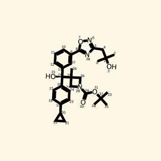 CC(C)(O)Cc1noc(-c2cccc([C@@](O)(c3ccc(C4CC4)cc3)C3(C)CN(C(=O)OC(C)(C)C)C3)c2)n1